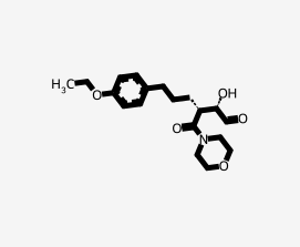 CCOc1ccc(CCC[C@@H](C(=O)N2CCOCC2)[C@H](O)C=O)cc1